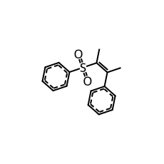 CC(=C(C)S(=O)(=O)c1ccccc1)c1ccccc1